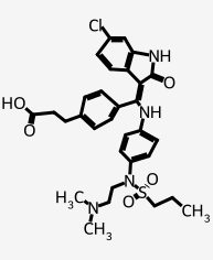 CCCS(=O)(=O)N(CCN(C)C)c1ccc(N/C(=C2\C(=O)Nc3cc(Cl)ccc32)c2ccc(CCC(=O)O)cc2)cc1